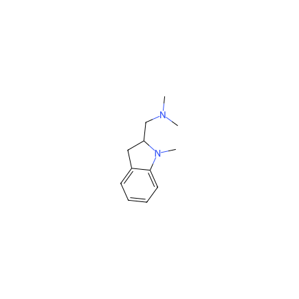 CN(C)CC1Cc2ccccc2N1C